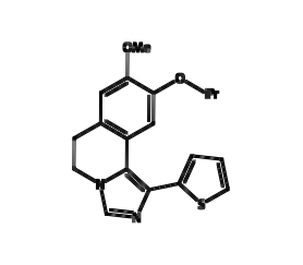 COc1cc2c(cc1OC(C)C)-c1c(-c3cccs3)ncn1CC2